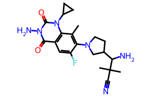 Cc1c(N2CCC(C(N)C(C)(C)C#N)C2)c(F)cc2c(=O)n(N)c(=O)n(C3CC3)c12